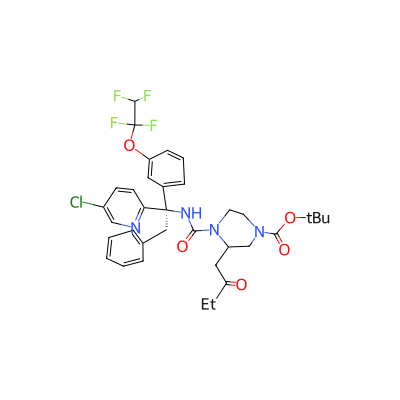 CCC(=O)CC1CN(C(=O)OC(C)(C)C)CCN1C(=O)N[C@](Cc1ccccc1)(c1cccc(OC(F)(F)C(F)F)c1)c1ccc(Cl)cn1